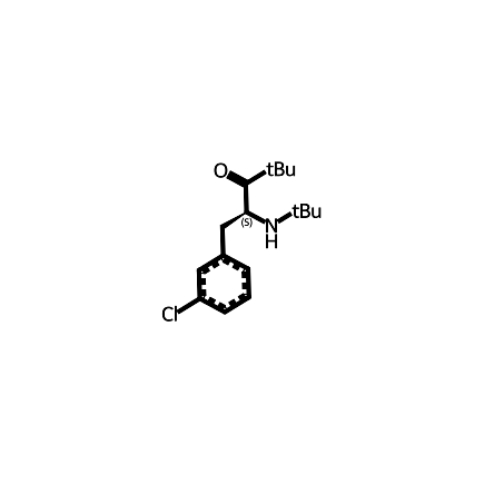 CC(C)(C)N[C@@H](Cc1cccc(Cl)c1)C(=O)C(C)(C)C